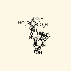 CN1C(=O)[C@@H](Cc2ccc(O)c(I)c2)NC(=O)CNC(=O)[C@H](Cc2ccc3ccccc3c2)NC(=O)[C@H](CCCNC(=N)N)NC(=O)[C@H]1CCCNC(=O)c1ccc(CNC(=O)CN2CCN(CC(=O)O)CCN(CC(=O)O)CCN(CC(=O)O)CC2)cc1